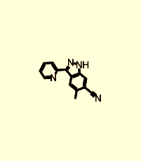 Cc1cc2c(-c3ccccn3)n[nH]c2cc1C#N